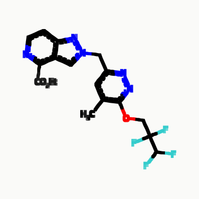 CCOC(=O)c1nccc2nn(Cc3cc(C)c(OCC(F)(F)C(F)F)nn3)cc12